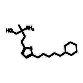 CC(N)(CO)CCc1ccc(CCCCCC2CCCCC2)s1